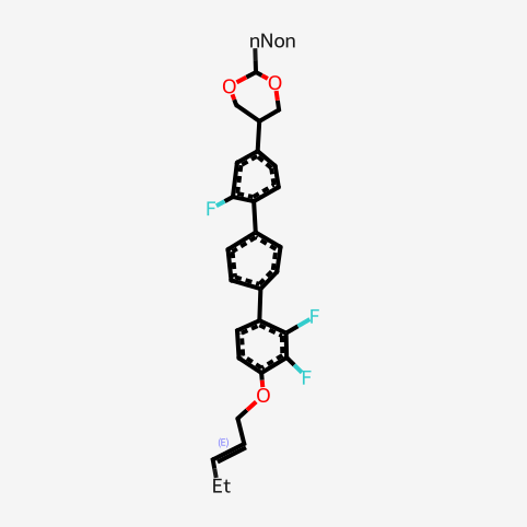 CC/C=C/COc1ccc(-c2ccc(-c3ccc(C4COC(CCCCCCCCC)OC4)cc3F)cc2)c(F)c1F